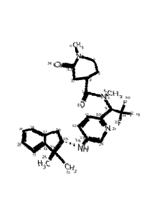 CN1CCC(C(=O)N(C)C(c2ccc(N[C@H]3Cc4ccccc4C3(C)C)cn2)C(F)(F)F)CC1=O